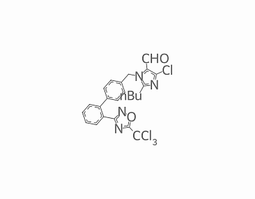 CCCCc1nc(Cl)c(C=O)n1Cc1ccc(-c2ccccc2-c2noc(C(Cl)(Cl)Cl)n2)cc1